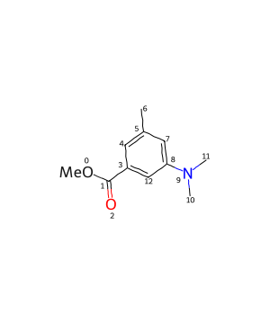 COC(=O)c1cc(C)cc(N(C)C)c1